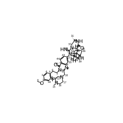 COc1ccc(CCn2c(CN3CCN(C)CC3)nc3cc(N(C(=N)N4CC(=O)N[C@@H](C)C4)[C@H]4C[C@H]5C[C@@H]([C@@H]4C)C5(C)C)ccc3c2=O)c(F)c1